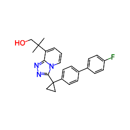 CC(C)(CO)c1cccn2c(C3(c4ccc(-c5ccc(F)cc5)cc4)CC3)nnc12